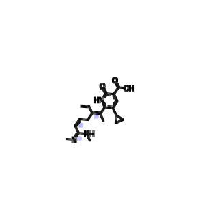 C=C/C(C/C=C\C(=N/C)NC)=C(/C)c1[nH]c(=O)c(C(=O)O)cc1C1CC1